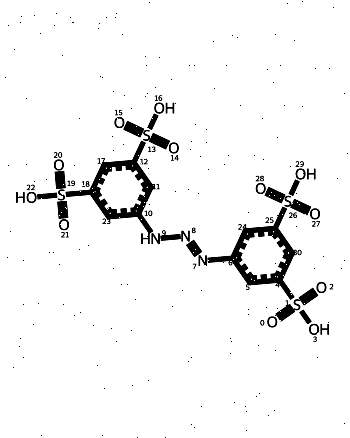 O=S(=O)(O)c1cc(/N=N/Nc2cc(S(=O)(=O)O)cc(S(=O)(=O)O)c2)cc(S(=O)(=O)O)c1